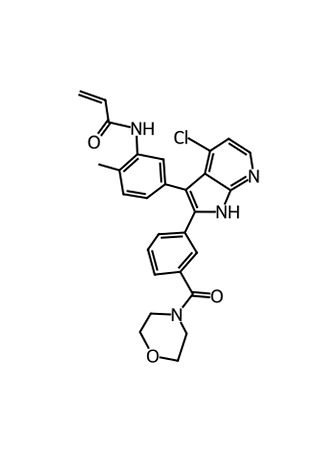 C=CC(=O)Nc1cc(-c2c(-c3cccc(C(=O)N4CCOCC4)c3)[nH]c3nccc(Cl)c23)ccc1C